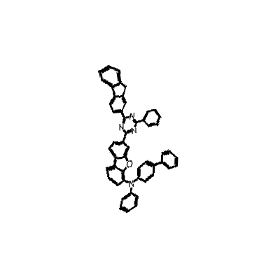 C1=CC(c2nc(-c3ccc4c(c3)Cc3ccccc3-4)nc(-c3ccc4c(c3)oc3c(N(c5ccccc5)c5ccc(-c6ccccc6)cc5)cccc34)n2)=CCC1